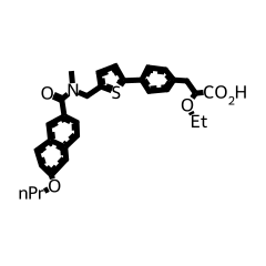 CCCOc1ccc2cc(C(=O)N(C)Cc3ccc(-c4ccc(CC(OCC)C(=O)O)cc4)s3)ccc2c1